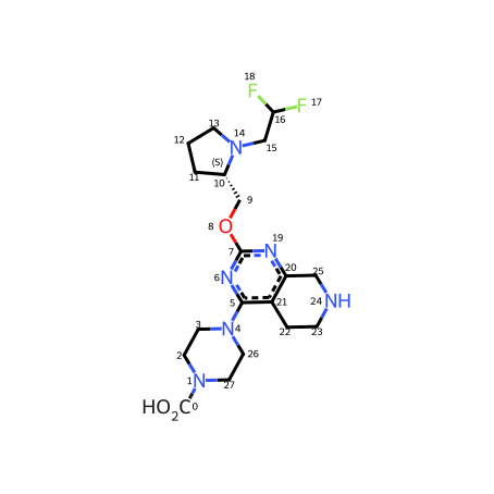 O=C(O)N1CCN(c2nc(OC[C@@H]3CCCN3CC(F)F)nc3c2CCNC3)CC1